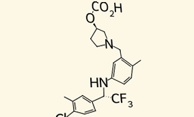 Cc1cc([C@H](Nc2ccc(C)c(CN3CC[C@@H](OC(=O)O)C3)c2)C(F)(F)F)ccc1Cl